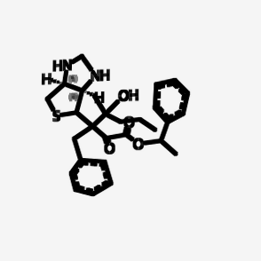 CCCC(C)(O)C(Cc1ccccc1)(C(=O)C(=O)OC(C)c1ccccc1)C1SC[C@H]2NCN[C@@H]12